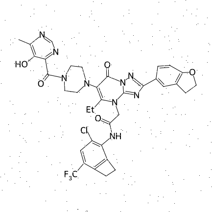 CCc1c(N2CCN(C(=O)c3ncnc(C)c3O)CC2)c(=O)n2nc(-c3ccc4c(c3)CCO4)nc2n1CC(=O)Nc1c(Cl)cc(C(F)(F)F)c2c1CC2